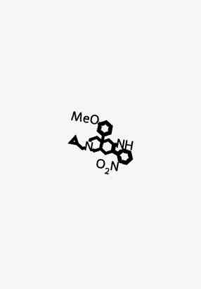 COc1cccc(C23CCN(CC4CC4)CC2Cc2c([nH]c4cccc([N+](=O)[O-])c24)C3)c1